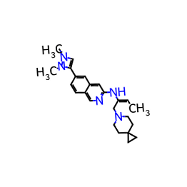 C/C=C(\CN1CCC2(CC1)CC2)Nc1cc2cc(-c3cn(C)n3C)ccc2cn1